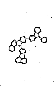 c1ccc(-n2c3ccccc3c3cc(-c4ccc5c6ccc7ccccc7c6n(-c6ccc7c(c6)-c6cccc8cccc-7c68)c5c4)ccc32)cc1